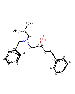 CC(C)CN(Cc1ccccc1)C[C@H](O)[CH]Cc1ccccc1